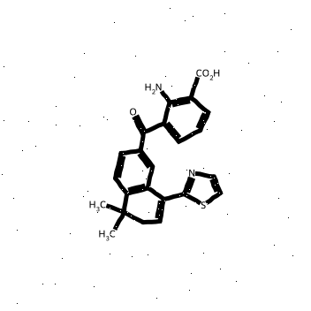 CC1(C)CC=C(c2nccs2)c2cc(C(=O)c3cccc(C(=O)O)c3N)ccc21